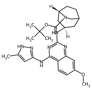 COc1ccc2c(Nc3cc(C)[nH]n3)nc(N[C@@H]3CC4CC[C@@H](C3)N(C(=O)OC(C)(C)C)C4)nc2c1